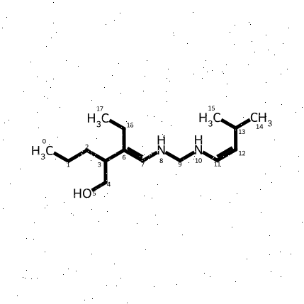 CCCC(CO)/C(=C/NCN/C=C\C(C)C)CC